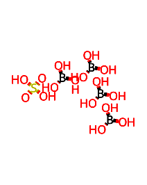 O=S(=O)(O)O.OB(O)O.OB(O)O.OB(O)O.OB(O)O